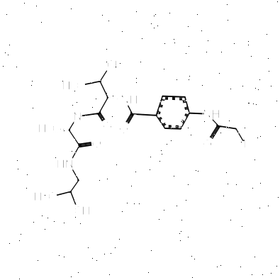 CC(C)CNC(=O)[C@H](C)NC(=O)[C@@H](NC(=O)c1ccc(NC(=O)CI)cc1)C(C)C